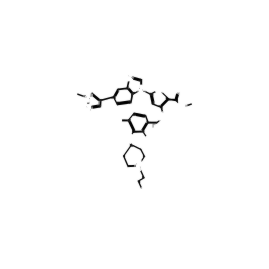 COC(=O)c1sc(-n2cnc3cc(-c4cnn(C)c4)ccc32)cc1O[C@H](C)c1ccc(F)c(OC2CCN(CCF)CC2)c1Cl